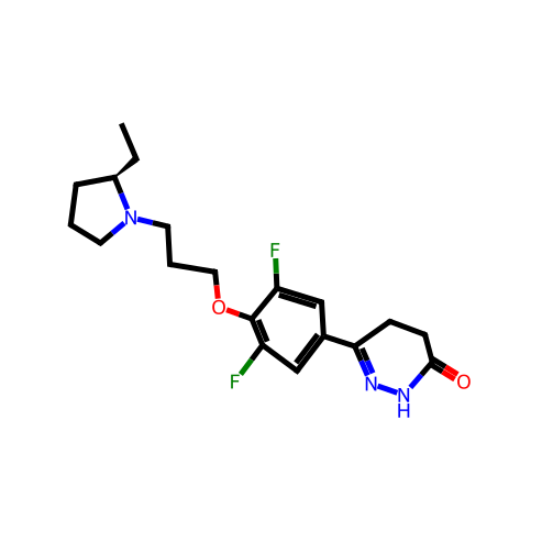 CC[C@@H]1CCCN1CCCOc1c(F)cc(C2=NNC(=O)CC2)cc1F